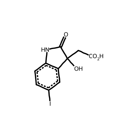 O=C(O)CC1(O)C(=O)Nc2ccc(I)cc21